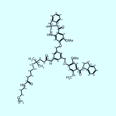 C=Nc1cc(OCc2cc(COc3cc4c(cc3OC)C(=O)N3c5ccccc5C[C@H]3CN4)cc(NC(=O)CCC(C)(C)SSCCCC(=O)NCCCON)c2)c(OC)cc1C(=O)N1CCc2ccccc21